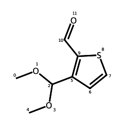 COC(OC)c1ccsc1C=O